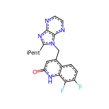 CCCC(C)c1nc2nccnc2n1Cc1cc(=O)[nH]c2c(F)c(F)ccc12